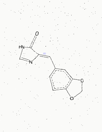 O=C1NC=N/C1=C\c1ccc2c(c1)OCO2